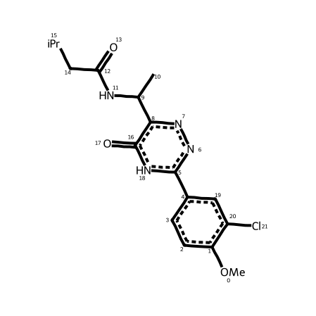 COc1ccc(-c2nnc(C(C)NC(=O)CC(C)C)c(=O)[nH]2)cc1Cl